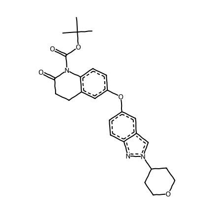 CC(C)(C)OC(=O)N1C(=O)CCc2cc(Oc3ccc4nn(C5CCOCC5)cc4c3)ccc21